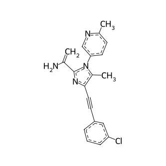 C=C(N)c1nc(C#Cc2cccc(Cl)c2)c(C)n1-c1ccc(C)nc1